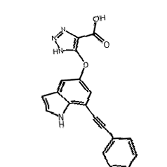 O=C(O)c1nn[nH]c1Oc1cc(C#Cc2ccccc2)c2[nH]ccc2c1